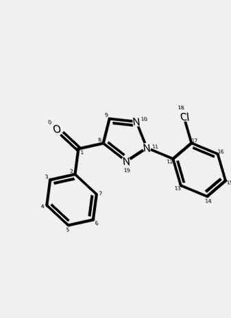 O=C(c1ccccc1)c1cnn(-c2ccccc2Cl)n1